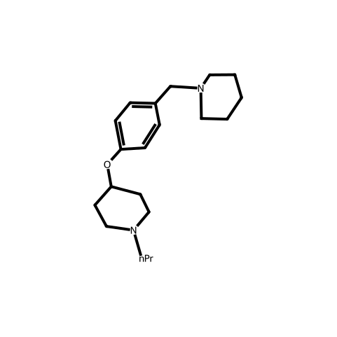 CCCN1CCC(Oc2ccc(CN3CCCCC3)cc2)CC1